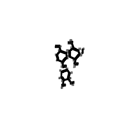 CC.O=Nc1ccc(O)cc1.O=Nc1ccc(O)cc1.O=Nc1ccccc1O